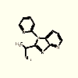 CC(N)c1nc2ncccc2n1-c1ccccn1